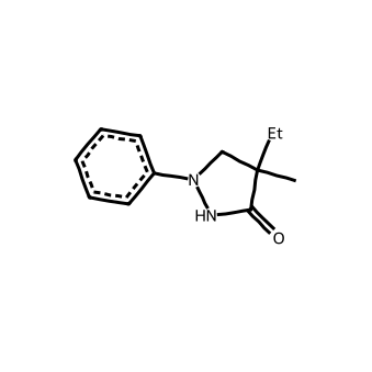 CCC1(C)CN(c2ccccc2)NC1=O